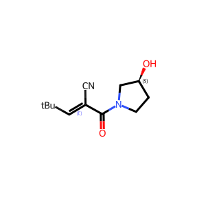 CC(C)(C)/C=C(\C#N)C(=O)N1CC[C@H](O)C1